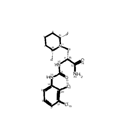 C[C@@H]1CCC[C@H](C)N1C[C@@H](NC(=O)Nc1cccc(Cl)c1Cl)C(N)=O